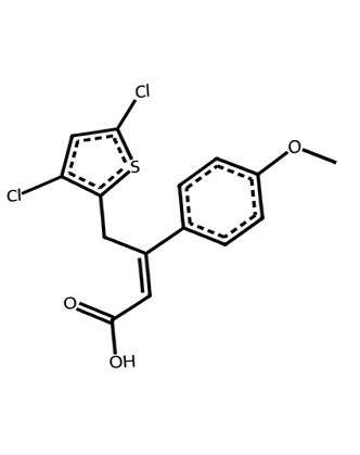 COc1ccc(C(=CC(=O)O)Cc2sc(Cl)cc2Cl)cc1